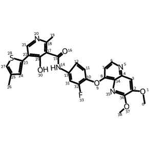 COc1cc2nccc(Oc3ccc(NC(=O)c4c(C)ncc(-c5cc(C)cs5)c4O)cc3F)c2nc1OC